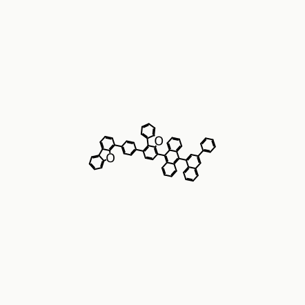 c1ccc(-c2cc(-c3c4ccccc4c(-c4ccc(-c5ccc(-c6cccc7c6oc6ccccc67)cc5)c5c4oc4ccccc45)c4ccccc34)c3ccccc3c2)cc1